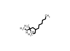 CCCCCCC(CC)CC(C)(C)NC